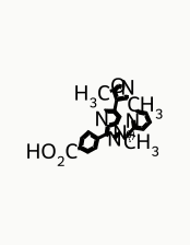 Cc1noc(C)c1-c1cnc2c(-c3ccc(C(=O)O)cc3)nn([C@@H](C)c3ccccn3)c2c1